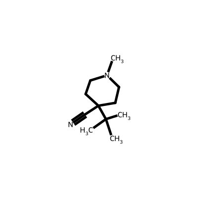 CN1CCC(C#N)(C(C)(C)C)CC1